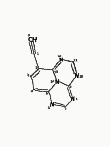 C#CC1=CC=C2N=CN=C3N=CN=C1N23